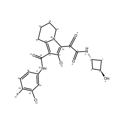 O=C(N[C@H]1C[C@H](O)C1)C(=O)c1c(Cl)c(C(=O)Nc2ccc(F)c(Cl)c2)c2n1CCCC2